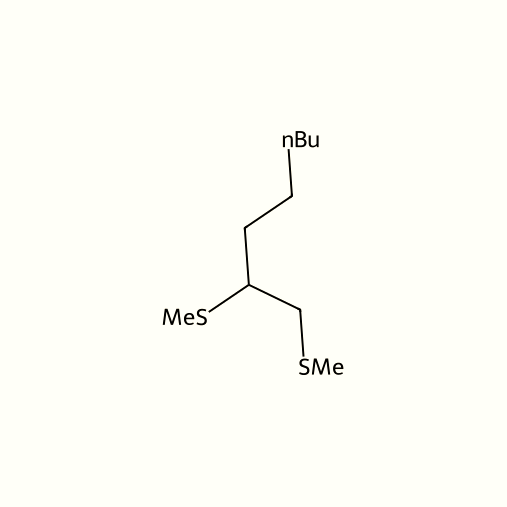 CCCCCCC(CSC)SC